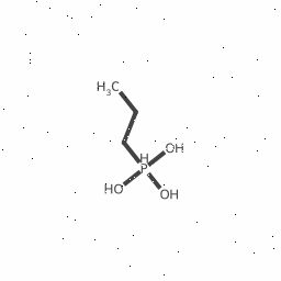 CCC[PH](O)(O)O